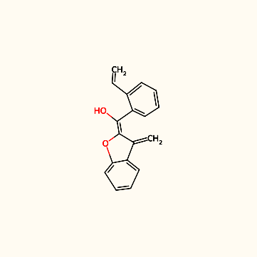 C=Cc1ccccc1/C(O)=c1/oc2ccccc2c1=C